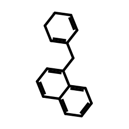 [CH]1C=CC(Cc2cccc3ccccc23)=CC1